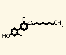 CCCCCCCCOc1ccc(-c2ccc(O)cc2F)cc1F